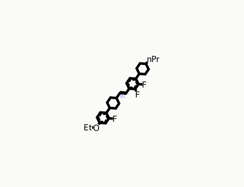 CCCC1CCC(c2ccc(/C=C/C3CCC(c4ccc(OCC)cc4F)CC3)c(F)c2F)CC1